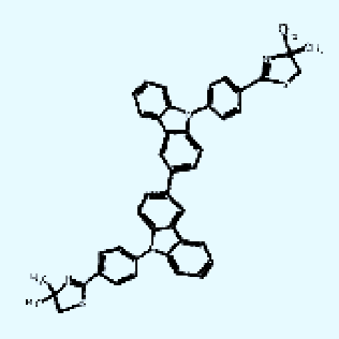 CC1(C)CSC(c2ccc(-n3c4ccccc4c4cc(-c5ccc6c(c5)c5ccccc5n6-c5ccc(C6=NC(C)(C)CS6)cc5)ccc43)cc2)=N1